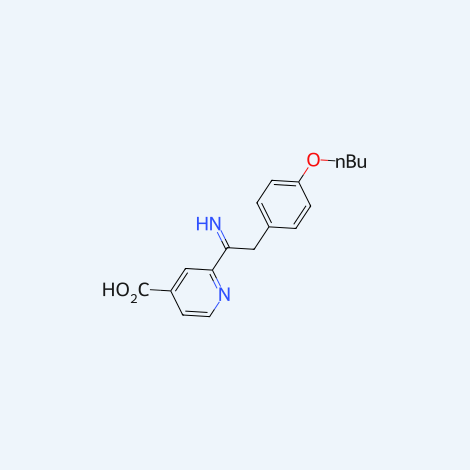 CCCCOc1ccc(CC(=N)c2cc(C(=O)O)ccn2)cc1